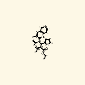 C=C(C)N(C(=O)/C(C)=C\c1cccnc1)C(C(C(=O)OCC)=C(C)C)c1cccs1